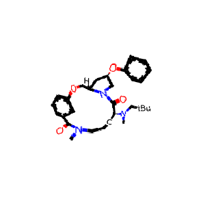 CN1CCC[C@H](N(C)CC(C)(C)C)C(=O)N2C[C@@H](Oc3ccccc3)C[C@H]2COc2cccc(c2)C1=O